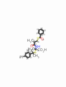 CC(C)c1ccc(C(C)(C)S[C@@](C)(NC(=O)[C@H](C)CSC(=O)c2ccccc2)C(=O)O)cc1